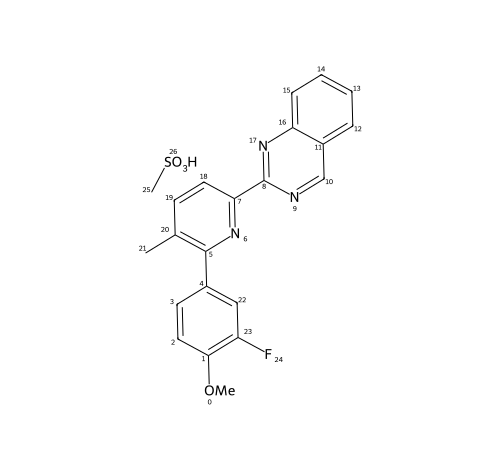 COc1ccc(-c2nc(-c3ncc4ccccc4n3)ccc2C)cc1F.CS(=O)(=O)O